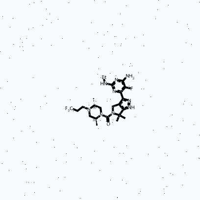 CCNc1nc(N)c(F)c(-c2n[nH]c3c2CN(C(=O)N2C[C@@H](C)N(CCC(F)(F)F)C[C@@H]2C)C3(C)C)n1